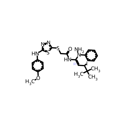 COc1ccc(Nc2nnc(SCC(=O)N/C(=C/C(I)C(C)(C)C)N(N)c3ccccc3)s2)cc1